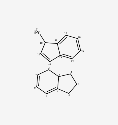 C1=CCC2CCCC2=C1.CC(C)C1C=Cc2ccccc21